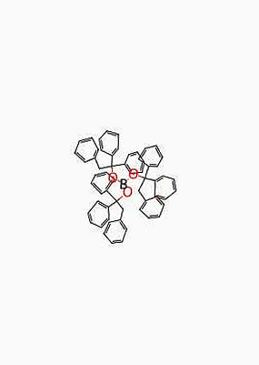 c1ccc(CC(OB(OC(Cc2ccccc2)(c2ccccc2)c2ccccc2)OC(Cc2ccccc2)(c2ccccc2)c2ccccc2)(c2ccccc2)c2ccccc2)cc1